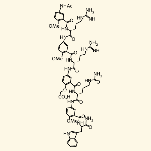 COc1ccc(NC(=O)[C@@H](CCCNC(N)=O)NC(=O)c2cc(NC(=O)[C@@H](CCCNC(=N)N)NC(=O)c3cc(NC(=O)[C@@H](CCCNC(=N)N)NC(=O)c4cc(NC(C)=O)ccc4OC)ccc3OC)ccc2OCC(=O)O)cc1C(=O)N[C@H](Cc1c[nH]c2ccccc12)C(N)=O